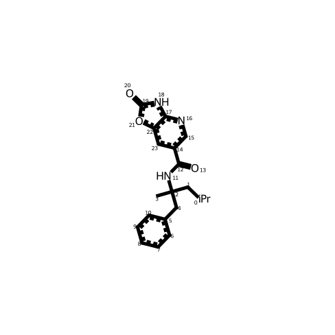 CC(C)CC(C)(Cc1ccccc1)NC(=O)c1cnc2[nH]c(=O)oc2c1